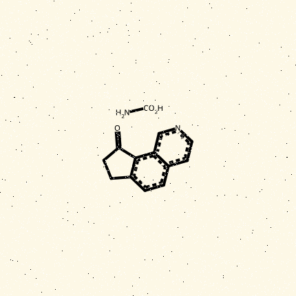 NC(=O)O.O=C1CCc2ccc3ccncc3c21